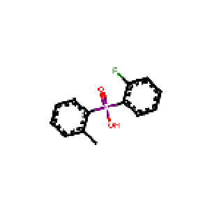 Cc1ccccc1P(=O)(O)c1ccccc1F